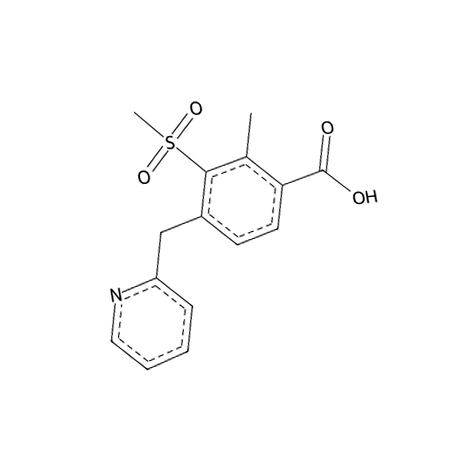 Cc1c(C(=O)O)ccc(Cc2ccccn2)c1S(C)(=O)=O